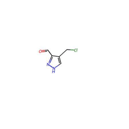 O=Cc1n[nH]cc1CCl